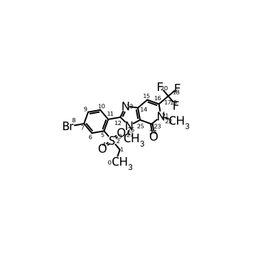 CCS(=O)(=O)c1cc(Br)ccc1-c1nc2cc(C(F)(F)F)n(C)c(=O)c2n1C